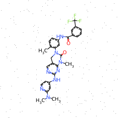 Cc1ccc(NC(=O)c2cccc(C(F)(F)F)c2)cc1N1Cc2cnc(Nc3ccnc(N(C)C)c3)nc2N(C)C1=O